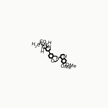 COc1cc2nccc(N3CCOc4ccc(-c5cnc6nc(N(C)C(=O)O)[nH]c6c5)cc4C3)c2cc1OC